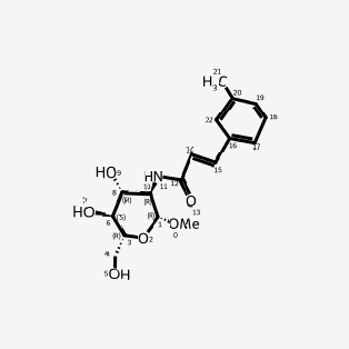 CO[C@@H]1O[C@H](CO)[C@@H](O)[C@H](O)[C@H]1NC(=O)C=Cc1cccc(C)c1